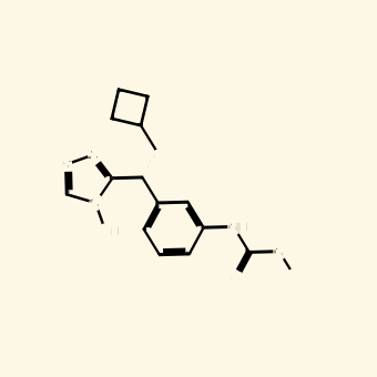 CNC(=O)Nc1cccc([C@@H](CC2CCC2)c2nncn2C)c1